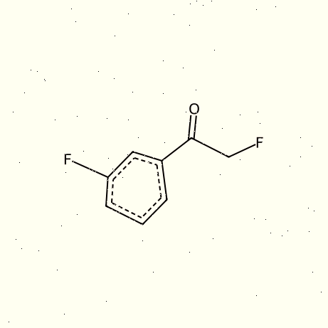 O=C(CF)c1cccc(F)c1